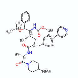 CNC1CCN(C(=O)[C@@H](NC(=O)[C@@H](Cc2ccc(-c3ccncc3)cc2)C[C@H]([C@H](NC(=O)OC(C)(C)C)C(O[SiH](C)C)c2ccccc2)C(C)(C)C)C(C)C)CC1